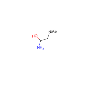 CNCC(N)O